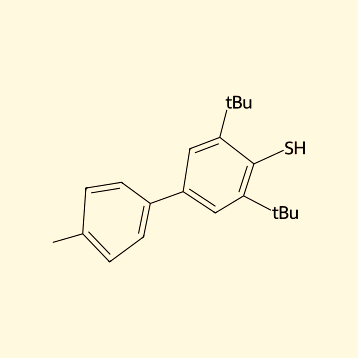 Cc1ccc(-c2cc(C(C)(C)C)c(S)c(C(C)(C)C)c2)cc1